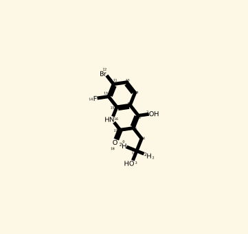 [2H]C([2H])(O)Cc1c(O)c2ccc(Br)c(F)c2[nH]c1=O